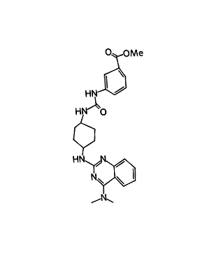 COC(=O)c1cccc(NC(=O)NC2CCC(Nc3nc(N(C)C)c4ccccc4n3)CC2)c1